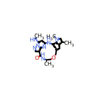 CNc1cc2nc3c(cnn13)C(=O)N[C@H](C)COCc1cc(c3c(c1)c(C)cn3C)N2